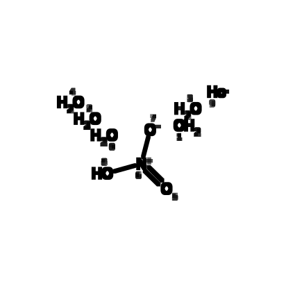 O.O.O.O.O.O=[N+]([O-])O.[Ho]